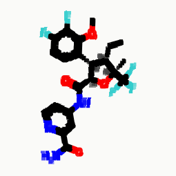 CC[C@H]1[C@@H](c2ccc(F)c(F)c2OC)[C@H](C(=O)Nc2ccnc(C(N)=O)c2)O[C@]1(C)C(F)(F)F